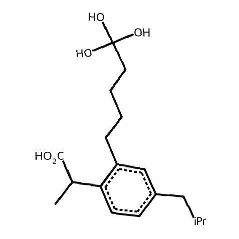 CC(C)Cc1ccc(C(C)C(=O)O)c(CCCCC(O)(O)O)c1